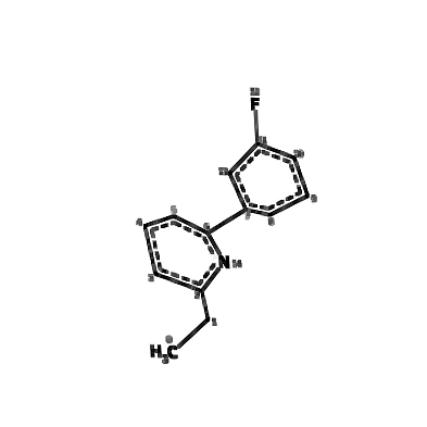 CCc1cccc(-c2cccc(F)c2)n1